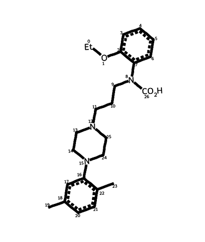 CCOc1ccccc1N(CCCN1CCN(c2cc(C)ccc2C)CC1)C(=O)O